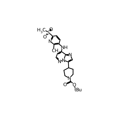 Cc1nc(S(C)(=O)=O)ccc1Nc1ccnn2c(C3CCN(C(=O)OC(C)(C)C)CC3)cnc12